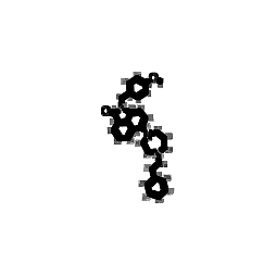 COc1ccc(CN2C(=O)c3cccc4c(N5CCCN(CCc6ccccc6)CC5)ccc2c34)cc1